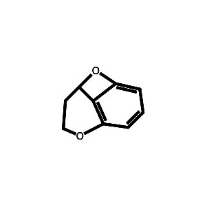 c1cc2c3c(c1)OC3CCO2